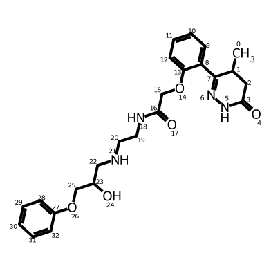 CC1CC(=O)NN=C1c1ccccc1OCC(=O)NCCNCC(O)COc1ccccc1